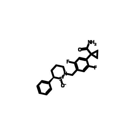 NC(=O)C1(c2cc(F)c(CN3CCC[C@H](c4ccccc4)[S+]3[O-])cc2F)CC1